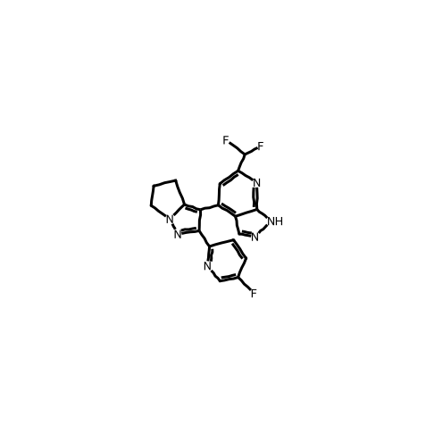 Fc1ccc(-c2nn3c(c2-c2cc(C(F)F)nc4[nH]ncc24)CCC3)nc1